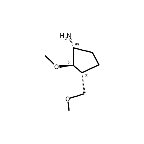 COC[C@H]1CC[C@@H](N)[C@@H]1OC